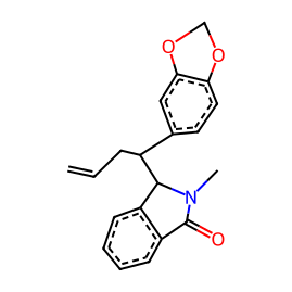 C=CCC(c1ccc2c(c1)OCO2)C1c2ccccc2C(=O)N1C